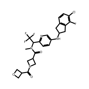 CN(C(=O)C1CN(C(=O)C2COC2)C1)C(c1ccc(NC2Cc3ccc(Cl)c(F)c3C2)cn1)C(F)(F)F